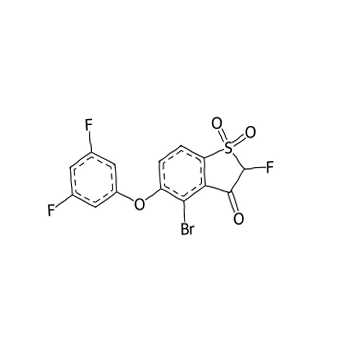 O=C1c2c(ccc(Oc3cc(F)cc(F)c3)c2Br)S(=O)(=O)C1F